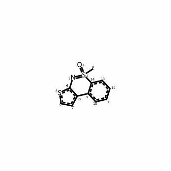 CS1(=O)=Nc2sccc2-c2ccccc21